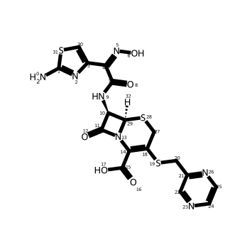 Nc1nc(/C(=N/O)C(=O)N[C@@H]2C(=O)N3C(C(=O)O)=C(SCc4cnccn4)CS[C@H]23)cs1